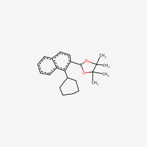 CC1(C)OB(c2ccc3ccccc3c2C2CCCCC2)OC1(C)C